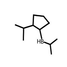 CC(C)BC1CCCC1C(C)C